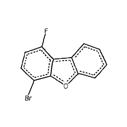 Fc1ccc(Br)c2oc3ccccc3c12